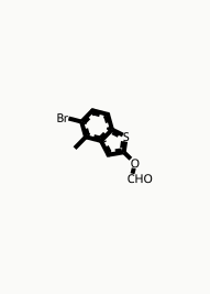 Cc1c(Br)ccc2sc(OC=O)cc12